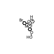 O=c1c2cc(Br)ccc2nc(-c2ccc(OCCO)cc2F)n1CC1CCCNC1